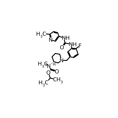 Cc1ccc(NC(=O)Nc2cc(CN3CCC[C@@H](N(C)C(=O)OC(C)C)C3)ccc2F)cn1